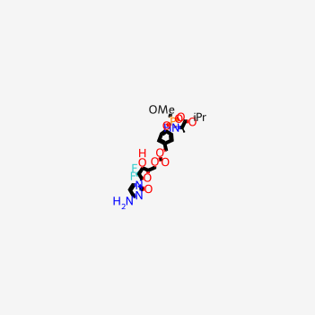 COCP(=O)(N[C@H](C)C(=O)OC(C)C)Oc1ccc(COC(=O)OCC2O[C@@H](n3ccc(N)nc3=O)C(F)(F)C2O)cc1